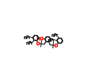 CCCc1cccc(OC(C)(C)Cc2cccc(O)c2CC(C)(C)Oc2cccc(CCC)c2CCC)c1CCC